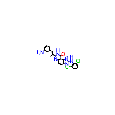 C/C(=C\c1cccc(N)c1)c1nc2ccc3nc(Nc4c(Cl)cccc4Cl)n(C)c3c2c(=O)[nH]1